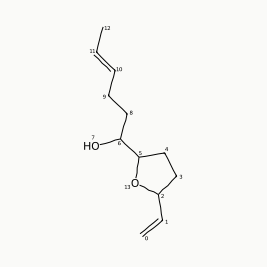 C=CC1CCC(C(O)CCC=CC)O1